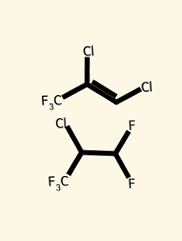 FC(F)(F)C(Cl)=CCl.FC(F)C(Cl)C(F)(F)F